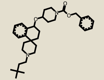 CC(C)(C)CCN1CCC2(CCC(OC3CCN(C(=O)OCc4ccccc4)CC3)c3ccccc32)CC1